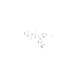 CCS(=O)(=O)c1ccc(C(Oc2ccc(C#N)cc2)C(O)Nc2nc3ccccc3o2)cc1